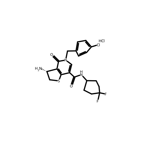 Cl.N[C@H]1CSc2c(C(=O)NC3CCC(F)(F)CC3)cn(Cc3ccc(Cl)cc3)c(=O)c21